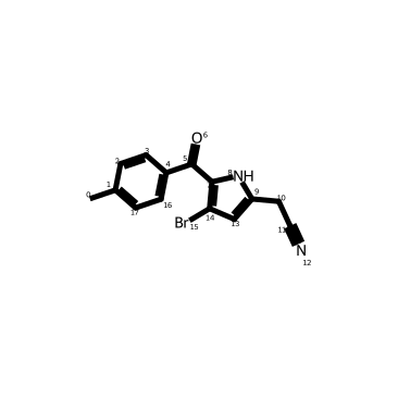 Cc1ccc(C(=O)c2[nH]c(CC#N)cc2Br)cc1